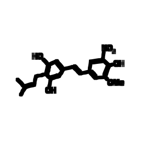 COc1cc(/C=C/c2cc(O)c(CC=C(C)C)c(O)c2)cc([N+](=O)[O-])c1O